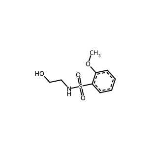 COc1ccccc1S(=O)(=O)NCCO